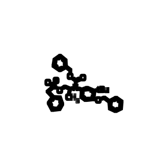 CC(COS(=O)(=O)Cc1ccccc1)N(C(=O)OCc1ccccc1)c1ccc(OCc2ccccc2)c(C(C)(C)C)c1